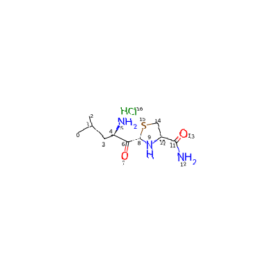 CC(C)C[C@@H](N)C(=O)C1NC(C(N)=O)CS1.Cl